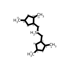 CC1CC(C)C(C[SiH2]CC2CC(C)CC2C)C1